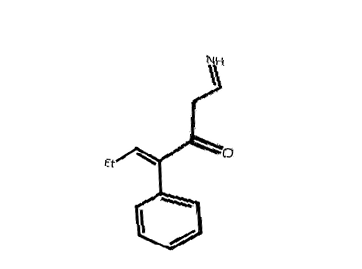 CC/C=C(/C(=O)CC=N)c1ccccc1